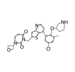 Cc1cc(Cl)cc(-c2ccnc3cc(Cn4c(=O)ccn(C5COC5)c4=O)sc23)c1OC1CCCNC1